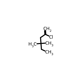 C=C(Cl)CC(C)(C)CC